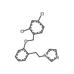 Clc1ccc(COc2ccccc2CCn2ccnc2)c(Cl)c1